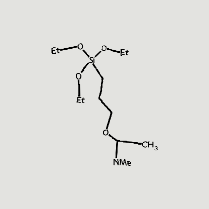 CCO[Si](CCCOC(C)NC)(OCC)OCC